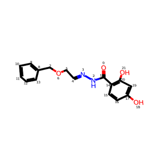 O=C(N/N=C/COCc1ccccc1)c1ccc(O)cc1O